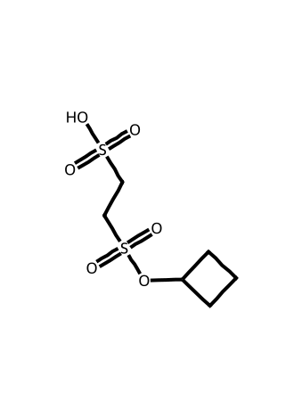 O=S(=O)(O)CCS(=O)(=O)OC1CCC1